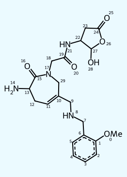 COc1ccccc1CNCC1=CCC(N)C(=O)N(CC(=O)NC2CC(=O)OC2O)C1